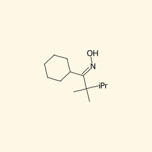 CC(C)C(C)(C)/C(=N/O)C1CCCCC1